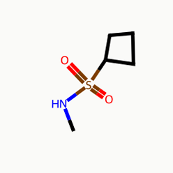 CNS(=O)(=O)C1CCC1